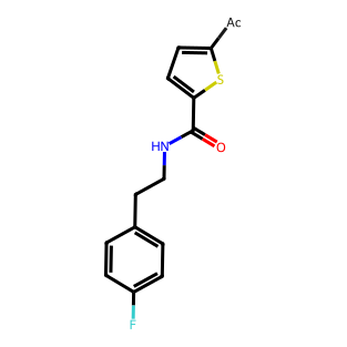 CC(=O)c1ccc(C(=O)NCCc2ccc(F)cc2)s1